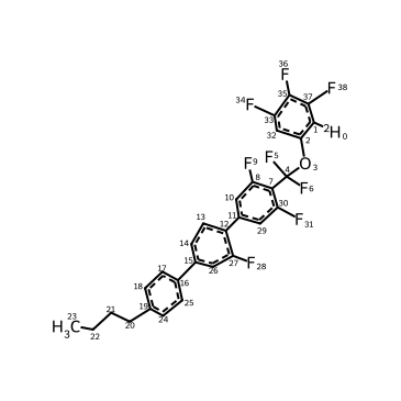 [2H]c1c(OC(F)(F)c2c(F)cc(-c3ccc(-c4ccc(CCCC)cc4)cc3F)cc2F)cc(F)c(F)c1F